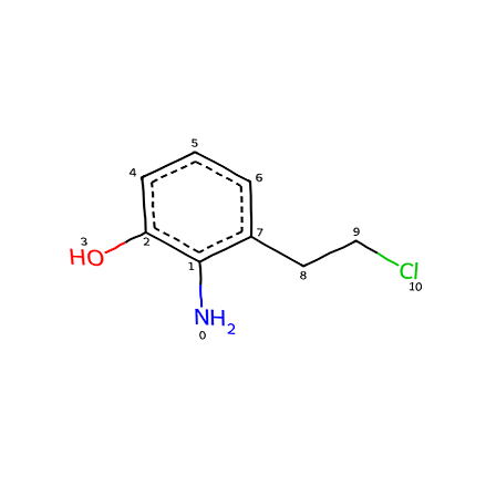 Nc1c(O)cccc1CCCl